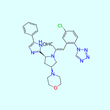 O=C/C(=C\c1cc(Cl)ccc1-n1cnnn1)N1C[C@@H](N2CCOCC2)C[C@H]1c1ncc(-c2ccccc2)[nH]1